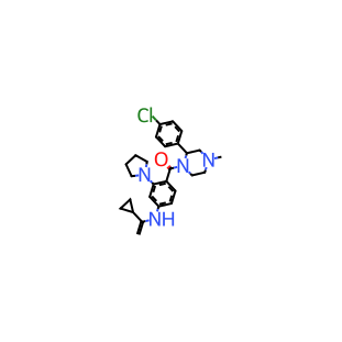 C=C(Nc1ccc(C(=O)N2CCN(C)CC2c2ccc(Cl)cc2)c(N2CCCC2)c1)C1CC1